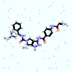 C=CC(=O)Nc1ccc(C(=O)NC2NNC3=C2CN(C(=O)N[C@H](CN(C)C)c2ccccc2)[C@H]3C(C)C)cc1